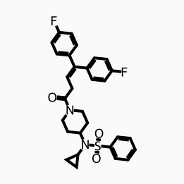 O=C(CC=C(c1ccc(F)cc1)c1ccc(F)cc1)N1CCC(N(C2CC2)S(=O)(=O)c2ccccc2)CC1